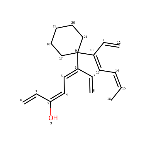 C=C/C(O)=C\C=C(/C=C)C1(/C(C=C)=C/C=C\C)CCCCC1